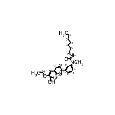 CCCCCCCNC(=O)N(C)c1cccc(-c2ccc(/C=C(/OCC)C(=O)O)cn2)c1